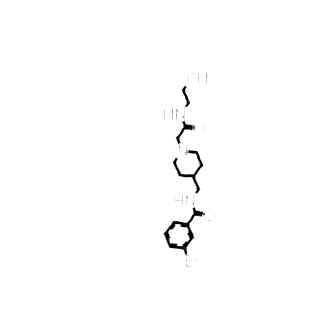 CCCNC(=O)CN1CCC(CNC(=O)c2cccc(Br)c2)CC1